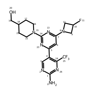 Nc1ncc(-c2cc(N3CC(F)C3)nc(N3CCC(CO)CC3)n2)c(C(F)(F)F)n1